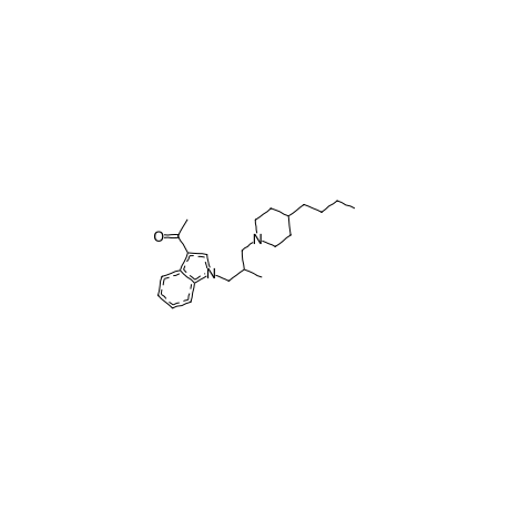 CCCCC1CCN(CC(C)Cn2cc(C(C)=O)c3ccccc32)CC1